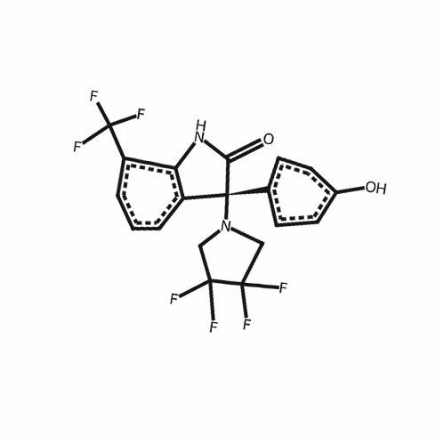 O=C1Nc2c(C(F)(F)F)cccc2[C@@]1(c1ccc(O)cc1)N1CC(F)(F)C(F)(F)C1